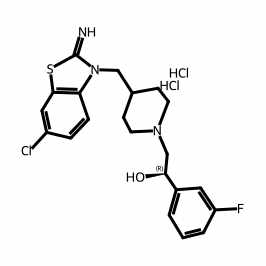 Cl.Cl.N=c1sc2cc(Cl)ccc2n1CC1CCN(C[C@H](O)c2cccc(F)c2)CC1